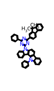 CC1(C)c2ccccc2-c2ccc(-c3nc(-c4ccccc4)nc(-n4c5ccccc5c5c4ccc4c6ccccc6n(-c6ccccc6)c45)n3)cc21